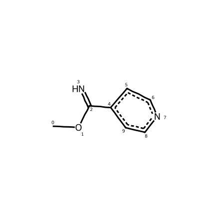 COC(=N)c1ccncc1